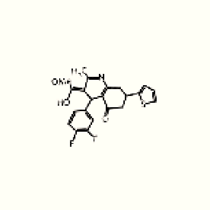 CO/C(O)=C1\C(C)=NC2=C(C(=O)CC(c3cccs3)C2)C1c1ccc(F)c(F)c1